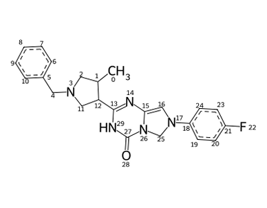 CC1CN(Cc2ccccc2)CC1C1=NC2=CN(c3ccc(F)cc3)CN2C(=O)N1